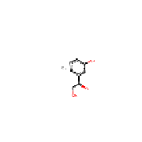 O=C(CO)c1cccc(O)c1.[Cu]